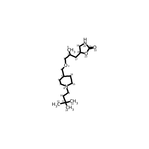 CC(COCC1CCN(CCC(C)(C)C)CC1)CC1CNC(=O)O1